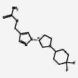 NC(=O)OCc1cnn([C@@H]2CCN(C3CCC(F)(F)CC3)C2)c1